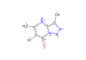 CCc1c(C)[nH]c2c(C#N)nnn2c1=O